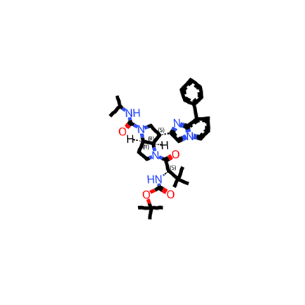 CC(C)NC(=O)N1C[C@H](c2cn3cccc(-c4ccccc4)c3n2)[C@@H]2[C@H]1CCN2C(=O)[C@@H](NC(=O)OC(C)(C)C)C(C)(C)C